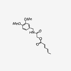 C/C=C/C=C/C(=O)OCC(=O)NCc1ccc(OC)c(OC)c1